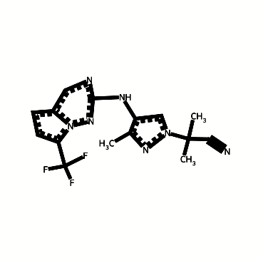 Cc1nn(C(C)(C)C#N)cc1Nc1ncc2ccc(C(F)(F)F)n2n1